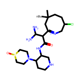 CCCCC1(C)CCC(Cl)C/N=C(/C(C(=O)NC2CNCCC2N2CC[S+]([O-])CC2)C(N)N)C1